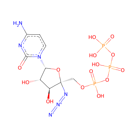 [N-]=[N+]=N[C@]1(COP(=O)(O)OP(=O)(O)OP(=O)(O)O)O[C@@H](n2ccc(N)nc2=O)[C@@H](O)[C@@H]1O